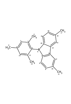 Cc1cc(C)c(B2c3ccc(C)cc3-c3cc(C)ccc32)c(C)c1